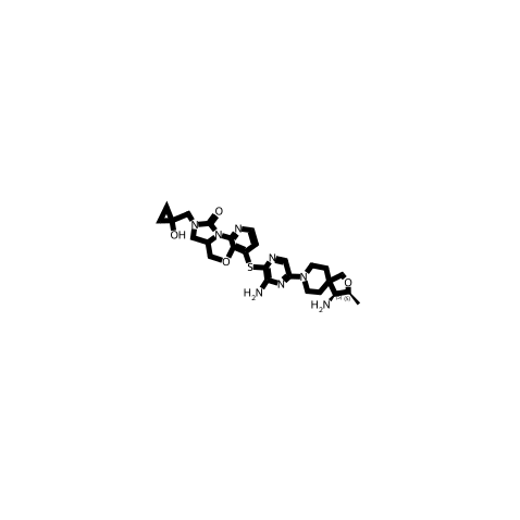 C[C@@H]1OCC2(CCN(c3cnc(Sc4ccnc5c4OCC4CN(CC6(O)CC6)C(=O)N54)c(N)n3)CC2)[C@@H]1N